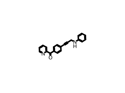 O=C(c1ccc(C#CCNc2ccccc2)cc1)c1ccccn1